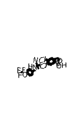 CC(C#N)(COc1cc2c(cc1Cl)COB2O)NCc1ccc(OC(F)(F)F)cc1